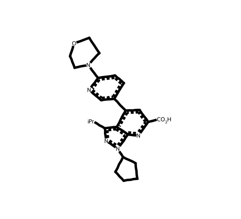 CC(C)c1nn(C2CCCC2)c2nc(C(=O)O)cc(-c3ccc(N4CCOCC4)nc3)c12